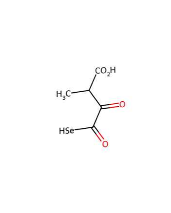 CC(C(=O)O)C(=O)C(=O)[SeH]